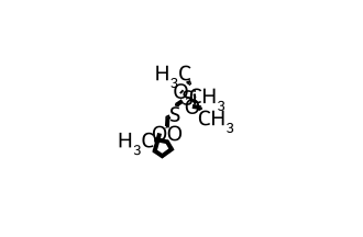 CCO[Si](C)(CSCC(=O)OC1(C)CCCC1)OCC